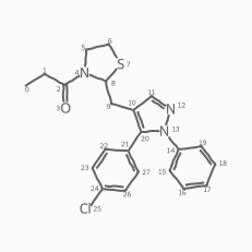 CCC(=O)N1CCSC1Cc1cnn(-c2ccccc2)c1-c1ccc(Cl)cc1